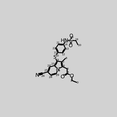 CCOC(=O)Cc1c(C)c(Sc2ccc(NS(=O)(=O)CC)cc2)c2cc(C#N)ccn12